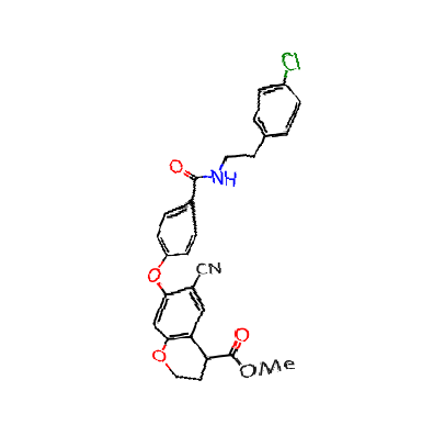 COC(=O)C1CCOc2cc(Oc3ccc(C(=O)NCCc4ccc(Cl)cc4)cc3)c(C#N)cc21